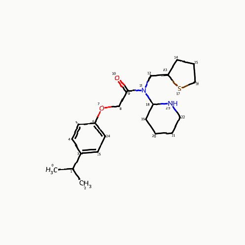 CC(C)c1ccc(OCC(=O)N(CC2CCCS2)C2CCCCN2)cc1